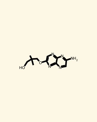 CC(C)(CO)COc1cnc2nc(N)cnc2n1